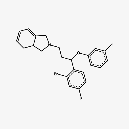 Fc1ccc(C(CCN2CC3=CC=CCC3C2)Oc2cccc(I)c2)c(Br)c1